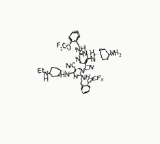 CCN[C@H]1CC[C@H](CNc2nc(NCc3ccccc3OC(F)(F)F)ncc2C#N)CC1.N#Cc1cnc(NCc2ccccc2OC(F)(F)F)nc1NC[C@H]1CC[C@H](N)CC1